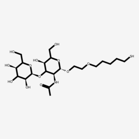 CC(=O)N[C@H]1C(O[C@@H]2OC(CO)[C@H](O)C(O)[C@@H]2O)[C@@H](O)C(CO)O[C@@H]1OCCOCCCCCS